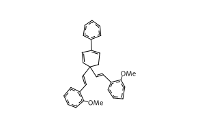 COc1ccccc1C=CC1(C=Cc2ccccc2OC)C=CC(c2ccccc2)=CC1